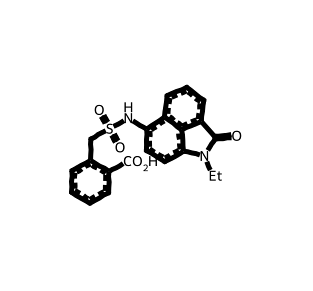 CCN1C(=O)c2cccc3c(NS(=O)(=O)Cc4ccccc4C(=O)O)ccc1c23